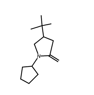 C=C1CC(C(C)(C)C)CN1C1CCCC1